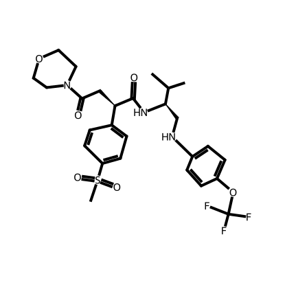 CC(C)[C@@H](CNc1ccc(OC(F)(F)F)cc1)NC(=O)[C@H](CC(=O)N1CCOCC1)c1ccc(S(C)(=O)=O)cc1